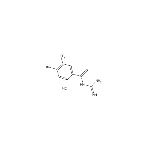 Cl.N=C(N)NC(=O)c1ccc(Br)c(C(F)(F)F)c1